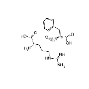 C=O.N=C(N)NCCC[C@H](N)C(=O)O.N[C@@H](Cc1ccccc1)C(=O)O